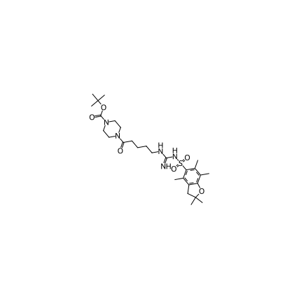 Cc1c(C)c(S(=O)(=O)NC(=N)NCCCCC(=O)N2CCN(C(=O)OC(C)(C)C)CC2)c(C)c2c1OC(C)(C)C2